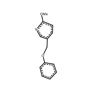 COc1ccc(COc2ccccc2)cn1